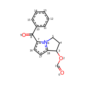 O=COC1CCn2c(C(=O)c3ccccc3)ccc21